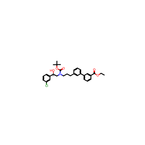 CCOC(=O)c1cccc(-c2cccc(CCCN(C[C@H](O)c3cccc(Cl)c3)C(=O)OC(C)(C)C)c2)c1